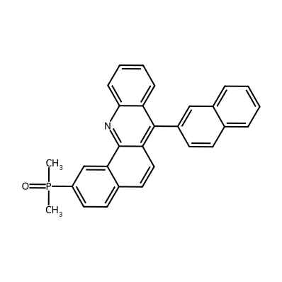 CP(C)(=O)c1ccc2ccc3c(-c4ccc5ccccc5c4)c4ccccc4nc3c2c1